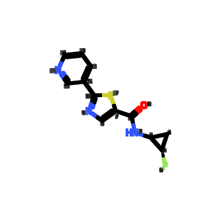 O=C(NC1C[C@@H]1F)c1cnc(-c2cccnc2)s1